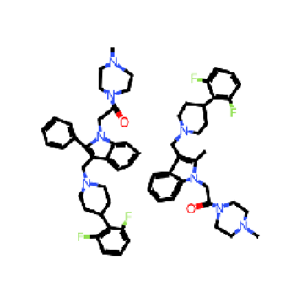 CN1CCN(C(=O)Cn2c(-c3ccccc3)c(CN3CCC(c4c(F)cccc4F)CC3)c3ccccc32)CC1.Cc1c(CN2CCC(c3c(F)cccc3F)CC2)c2ccccc2n1CC(=O)N1CCN(C)CC1